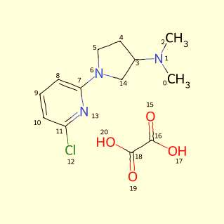 CN(C)C1CCN(c2cccc(Cl)n2)C1.O=C(O)C(=O)O